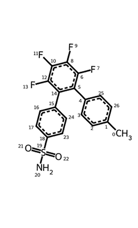 Cc1ccc(-c2c(F)c(F)c(F)c(F)c2-c2ccc(S(N)(=O)=O)cc2)cc1